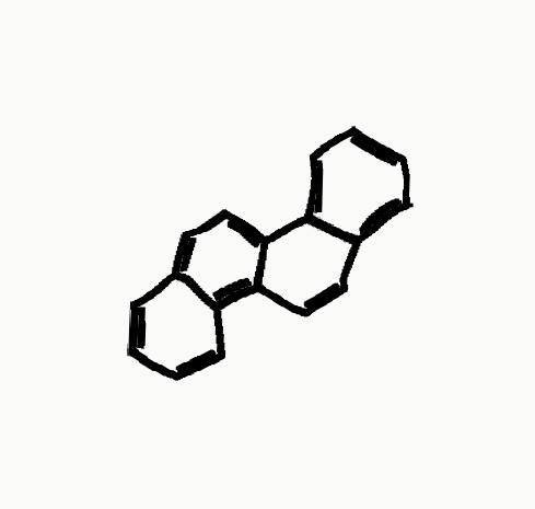 [c]1c[c]c2ccc3c4ccccc4ccc3c2c1